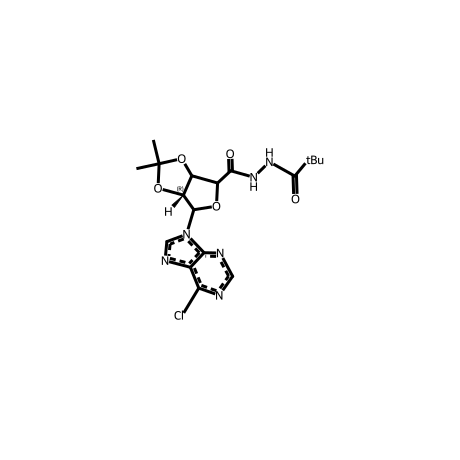 CC1(C)OC2C(C(=O)NNC(=O)C(C)(C)C)OC(n3cnc4c(Cl)ncnc43)[C@@H]2O1